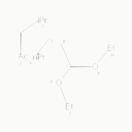 CC(=O)CC(C)C.CCCC.CCOC(C)OCC